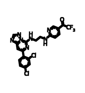 O=C(c1ccc(NCCNc2nc(-c3ccc(Cl)cc3Cl)cc3ncnn23)nc1)C(F)(F)F